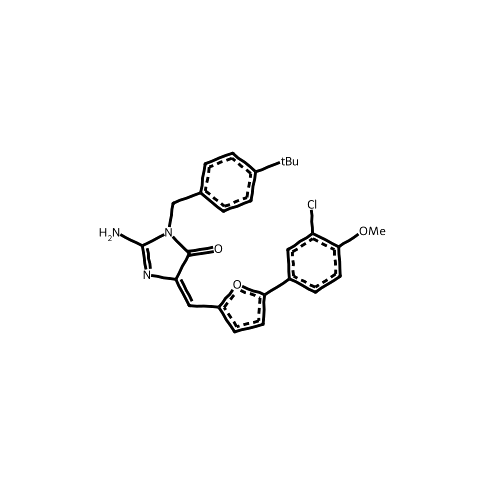 COc1ccc(-c2ccc(C=C3N=C(N)N(Cc4ccc(C(C)(C)C)cc4)C3=O)o2)cc1Cl